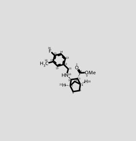 COC(=O)[C@@H]1[C@H]2CC[C@H](C2)[C@@H]1NCc1ccc(F)c(C)c1